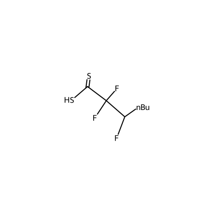 CCCCC(F)C(F)(F)C(=S)S